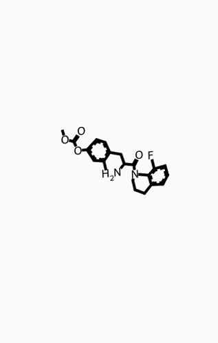 COC(=O)Oc1ccc(CC(N)C(=O)N2CCCc3cccc(F)c32)c(C)c1